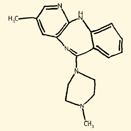 Cc1cnc2c(c1)N=C(N1CCN(C)CC1)c1ccccc1N2